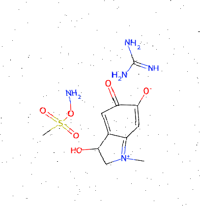 CS(=O)(=O)ON.C[N+]1=C2C=C([O-])C(=O)C=C2C(O)C1.N=C(N)N